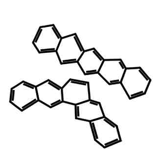 c1ccc2cc3c(ccc4cc5ccccc5cc43)cc2c1.c1ccc2cc3cc4cc5ccccc5cc4cc3cc2c1